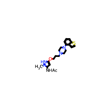 CC(=O)NC1C=C(OCCCN2CCN(c3cccc4sccc34)CC2)NN1C